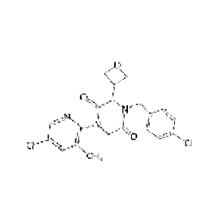 Cc1cc(Cl)cnc1N1CC(=O)N(Cc2ccc(Cl)cc2)C(C2COC2)C1=O